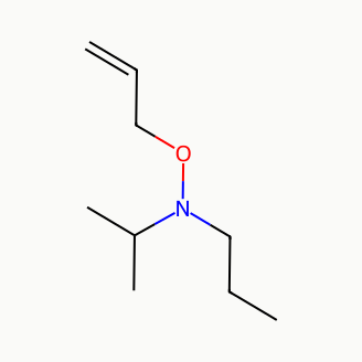 C=CCON(CCC)C(C)C